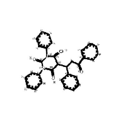 O=C(CC(c1ccccc1)C1C(=O)N(c2ccccc2)C(=O)N(c2ccccc2)C1=O)c1ccccc1